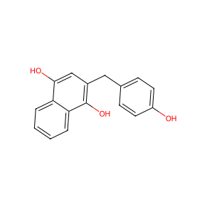 Oc1ccc(Cc2cc(O)c3ccccc3c2O)cc1